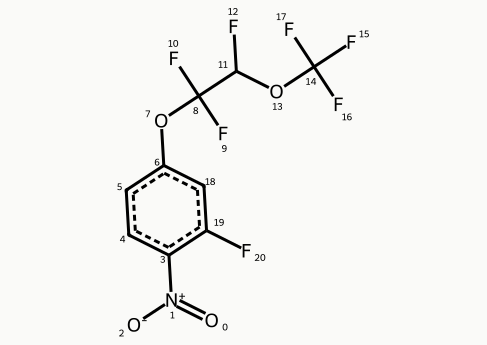 O=[N+]([O-])c1ccc(OC(F)(F)C(F)OC(F)(F)F)cc1F